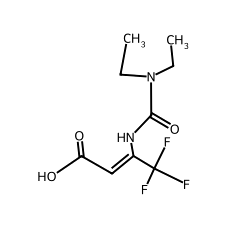 CCN(CC)C(=O)N/C(=C\C(=O)O)C(F)(F)F